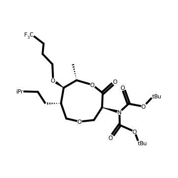 CC(C)CC[C@H]1COC[C@H](N(C(=O)OC(C)(C)C)C(=O)OC(C)(C)C)C(=O)O[C@@H](C)[C@@H]1OCCCC(F)(F)F